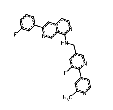 Cc1cc(-c2ncc(CNc3nccc4cc(-c5cccc(F)c5)ncc34)cc2F)ccn1